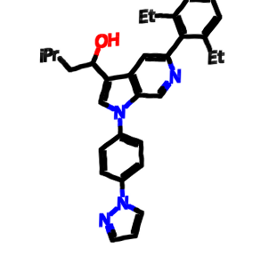 CCc1cccc(CC)c1-c1cc2c(C(O)CC(C)C)cn(-c3ccc(-n4cccn4)cc3)c2cn1